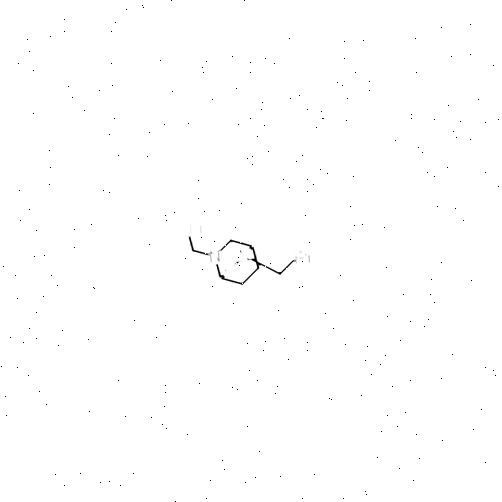 CC(C)CN1CC2CCC1CN2CC(C)C